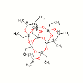 CC[SiH]1O[Si](CC)(O[SiH](C)C)O[Si]2(CC)O[Si](O)(CC)O[Si](CC)(O[Si](CC)(O[SiH](C)C)O1)O[Si](CC)(O[SiH](C)C)O2